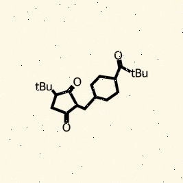 CC(C)(C)C(=O)C1CCC(CC2C(=O)CC(C(C)(C)C)C2=O)CC1